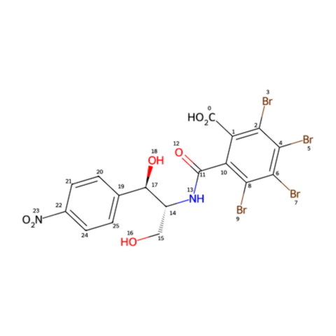 O=C(O)c1c(Br)c(Br)c(Br)c(Br)c1C(=O)N[C@H](CO)[C@H](O)c1ccc([N+](=O)[O-])cc1